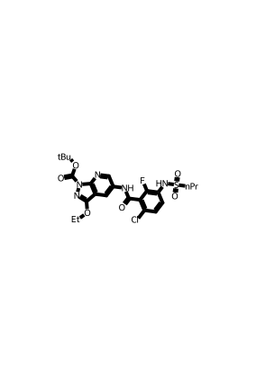 CCCS(=O)(=O)Nc1ccc(Cl)c(C(=O)Nc2cnc3c(c2)c(OCC)nn3C(=O)OC(C)(C)C)c1F